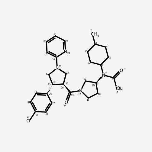 CC1CCC(N(C(=O)C(C)(C)C)[C@H]2CCN(C(=O)[C@@H]3CN(c4ccccn4)C[C@H]3c3ccc(Cl)cc3)C2)CC1